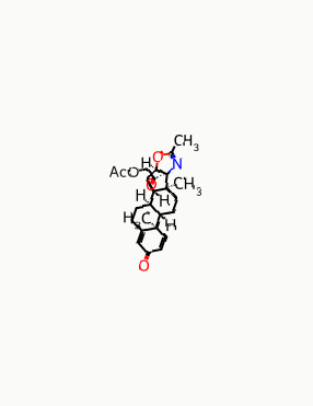 CC(=O)OCC(=O)[C@@]12N=C(C)O[C@@H]1C[C@H]1[C@@H]3CCC4=CC(=O)C=C[C@]4(C)[C@H]3CC[C@@]12C